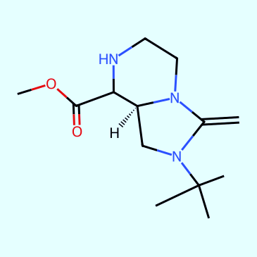 C=C1N2CCNC(C(=O)OC)[C@@H]2CN1C(C)(C)C